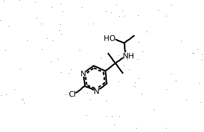 CC(O)NC(C)(C)c1cnc(Cl)nc1